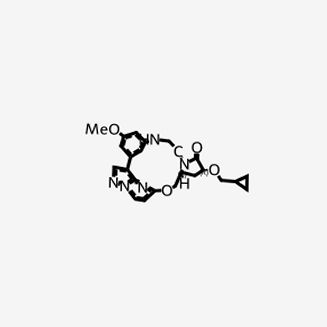 COc1cc2cc(c1)-c1cnn3ccc(nc13)OC[C@@H]1C[C@@H](OCC3CC3)C(=O)N1CCN2